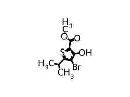 COC(=O)c1sc(C(C)C)c(Br)c1O